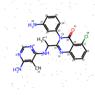 CC(Nc1ncnc(N)c1C#N)c1nc2cccc(Cl)c2c(=O)n1-c1cccc(N)c1